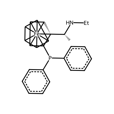 CCN[C@H](C)[C@@]12[CH]3[CH]4[CH]5[C]1(P(c1ccccc1)c1ccccc1)[Fe]45321678[CH]2[CH]1[CH]6[CH]7[CH]28